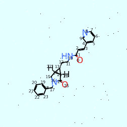 O=C(/C=C/c1cccnc1)NCC[C@@H]1[C@H]2CN(Cc3ccccc3)C(=O)[C@@H]12